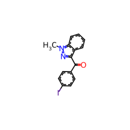 Cn1nc(C(=O)c2ccc(I)cc2)c2ccccc21